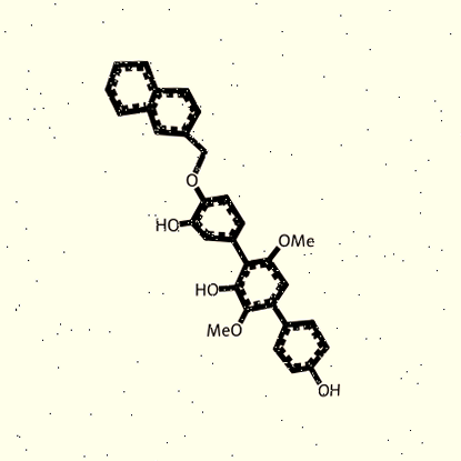 COc1cc(-c2ccc(O)cc2)c(OC)c(O)c1-c1ccc(OCc2ccc3ccccc3c2)c(O)c1